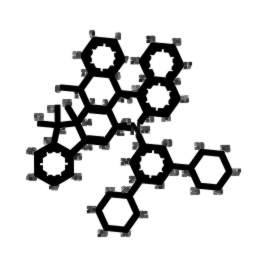 CC1C2=C3C(C)(c4ccccc41)c1c(ccc4ccccc14)N(c1cc(C4CCCCC4)cc(C4CCCCC4)c1)C3(C)C=C1c3ccccc3C(C)(C)C12C